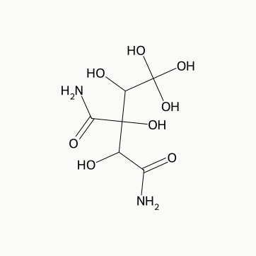 NC(=O)C(O)C(O)(C(N)=O)C(O)C(O)(O)O